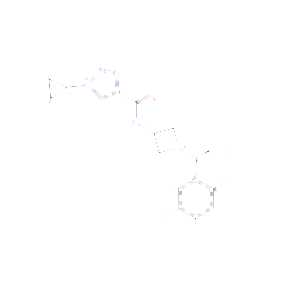 C[C@@H](c1cc(Cl)ccc1Cl)N1CC(NC(=O)c2cn(C3CC3)nn2)C1